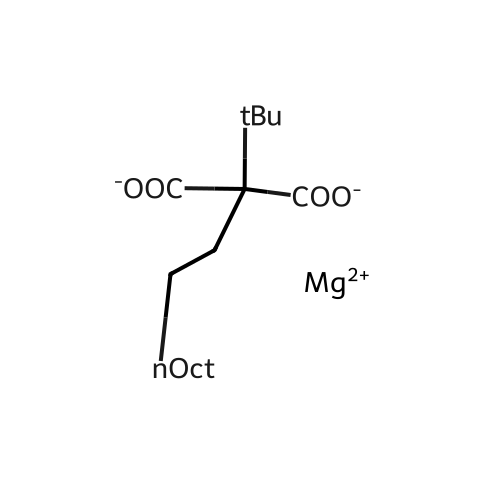 CCCCCCCCCCC(C(=O)[O-])(C(=O)[O-])C(C)(C)C.[Mg+2]